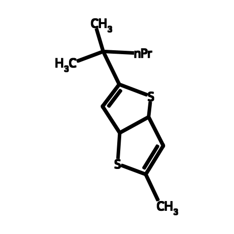 CCCC(C)(C)C1=CC2SC(C)=CC2S1